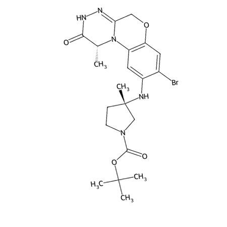 C[C@@H]1C(=O)NN=C2COc3cc(Br)c(N[C@@]4(C)CCN(C(=O)OC(C)(C)C)C4)cc3N21